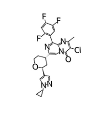 Cc1nc2c(-c3cc(F)c(F)cc3F)nc([C@H]3CCO[C@H](c4cnn(C5CC5)c4)C3)cn2c(=O)c1Cl